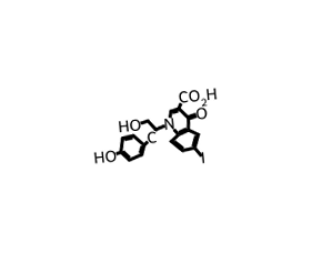 O=C(O)c1cn(C(CO)Cc2ccc(O)cc2)c2ccc(I)cc2c1=O